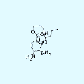 CCCC(Oc1cccc(N)c1N)[SiH]1CCCO[SiH2]1